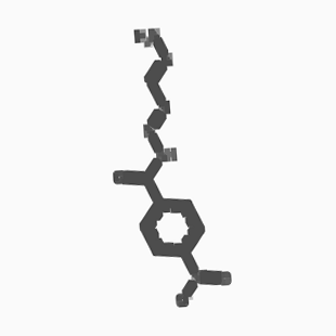 NN=CN=NNC(=O)c1ccc([N+](=O)[O-])cc1